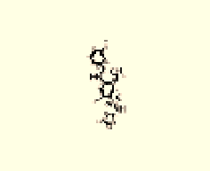 C[C@H](Nc1cc(F)c(S(=O)(=O)Nc2nccs2)cc1Cl)c1cccc(F)c1